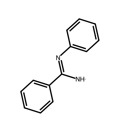 [NH]/C(=N\c1ccccc1)c1ccccc1